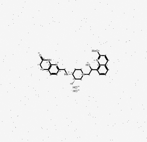 COc1ccc2cccc(C(O)CN3CC[C@@H](NCc4ccc5c(n4)NC(=O)CS5)[C@@H](F)C3)c2n1.Cl.Cl